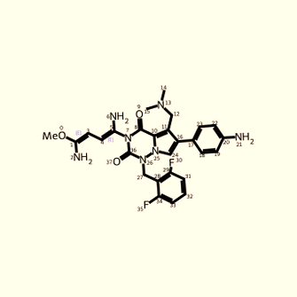 CO/C(N)=C/C=C(\N)n1c(=O)c2c(CN(C)C)c(-c3ccc(N)cc3)cn2n(Cc2c(F)cccc2F)c1=O